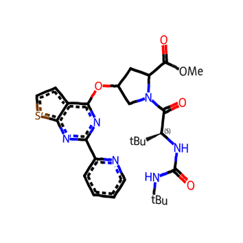 COC(=O)C1CC(Oc2nc(-c3ccccn3)nc3sccc23)CN1C(=O)[C@@H](NC(=O)NC(C)(C)C)C(C)(C)C